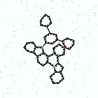 c1ccc(-c2cc(-c3ccccc3)cc(-n3c4ccccc4c4ccc5c(c6ccccc6c6cc7ccccc7n65)c43)c2)cc1